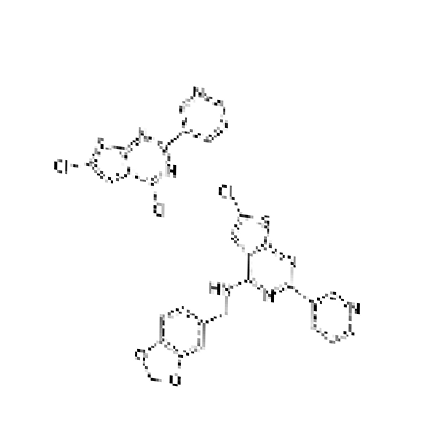 Clc1cc2c(Cl)nc(-c3cccnc3)nc2s1.Clc1cc2c(NCc3ccc4c(c3)OCO4)nc(-c3cccnc3)nc2s1